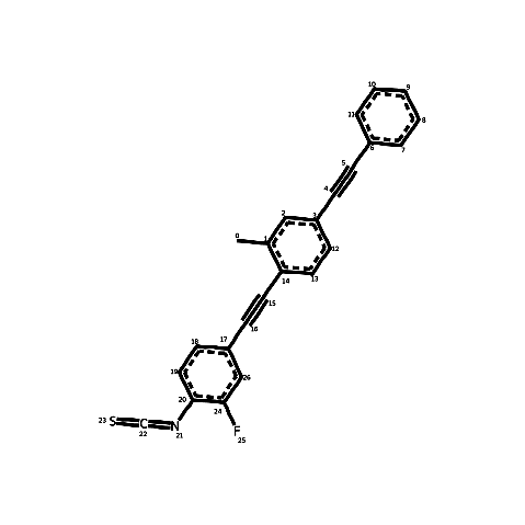 Cc1cc(C#Cc2ccccc2)ccc1C#Cc1ccc(N=C=S)c(F)c1